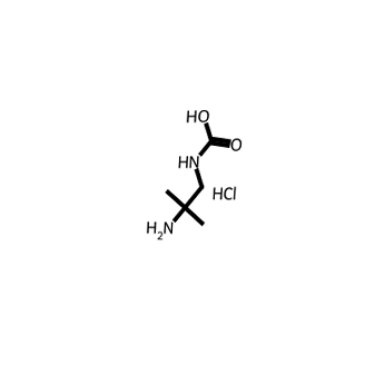 CC(C)(N)CNC(=O)O.Cl